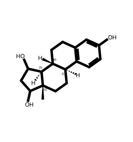 C[C@]12CC[C@@H]3c4ccc(O)cc4CC[C@H]3[C@@H]1C(O)CC2O